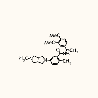 COc1ccc([C@@H](C)NC(=O)c2cc(N3CC4CN(C)CC4C3)ccc2C)cc1OC